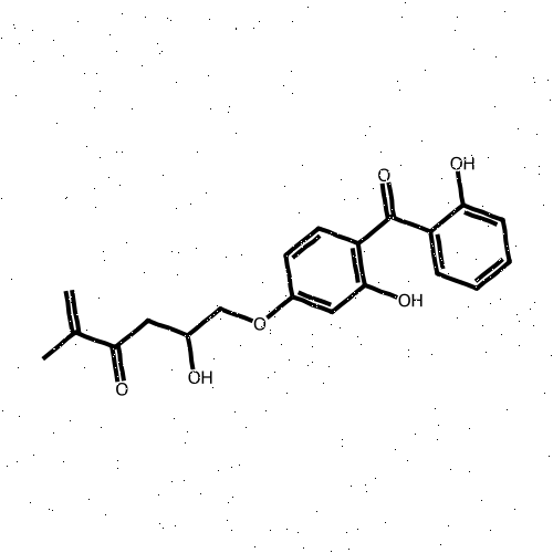 C=C(C)C(=O)CC(O)COc1ccc(C(=O)c2ccccc2O)c(O)c1